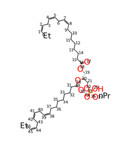 CC/C=C\C/C=C\C/C=C\CCCCCCCC(=O)OC[C@H](COP(=O)(O)OCCC)OC(=O)CCCCCCC/C=C\C/C=C\C/C=C\CC